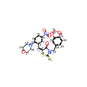 O=C1/C(=C\c2cc([N+](=O)[O-])ccc2N2CCOCC2)SC(=S)N1Cc1ccc2c(c1)OCO2